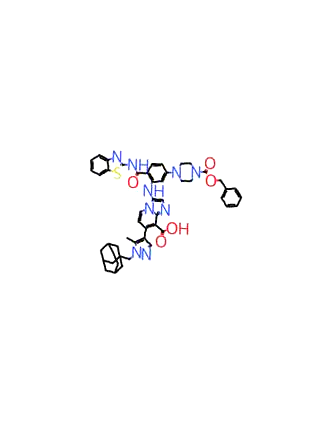 Cc1c(-c2ccn3c(Nc4cc(N5CCN(C(=O)OCc6ccccc6)CC5)ccc4C(=O)Nc4nc5ccccc5s4)cnc3c2C(=O)O)cnn1CC12CC3CC(CC(C3)C1)C2